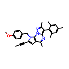 CC#Cc1cc2c(C)nc3c(-c4c(C)cc(C)cc4C)c(C)nn3c2n1Cc1ccc(OC)cc1